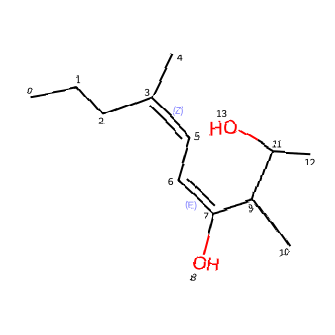 CCC/C(C)=C\C=C(\O)C(C)C(C)O